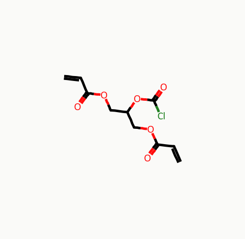 C=CC(=O)OCC(COC(=O)C=C)OC(=O)Cl